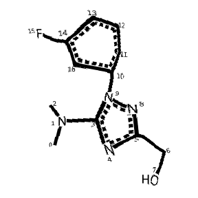 CN(C)c1nc(CO)nn1-c1cccc(F)c1